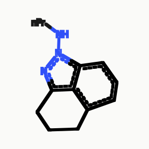 CCCNn1nc2c3c(cccc31)CCC2